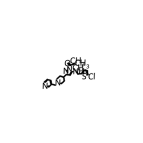 CC(C)(C)C(=O)n1nc(C2CCN(Cc3cccnc3)CC2)cc1NCc1ccc(Cl)s1